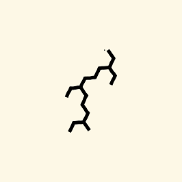 [CH2]CC(CC)CCCC(CC)CCCC(C)CC